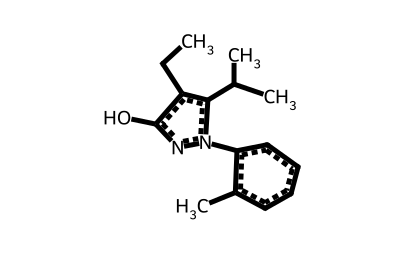 CCc1c(O)nn(-c2ccccc2C)c1C(C)C